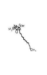 CCCCCCCCCCCCCCc1nc(C(=O)O)c2nnn(C)c(=O)n12